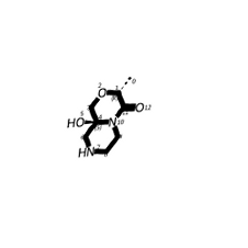 C[C@H]1OC[C@@]2(O)CNCCN2C1=O